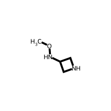 CONC1CNC1